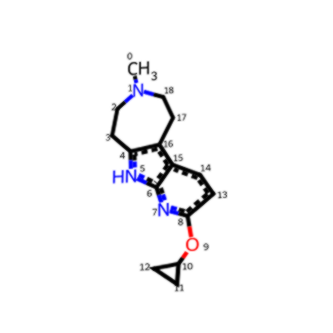 CN1CCc2[nH]c3nc(OC4CC4)ccc3c2CC1